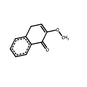 COC1=CCc2ccccc2C1=O